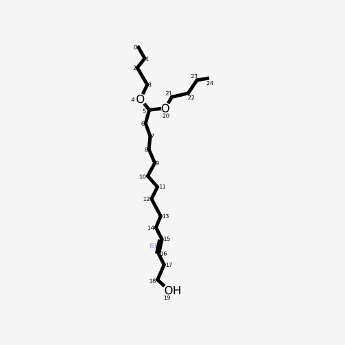 CCCCOC(CCCCCCCCC/C=C/CCO)OCCCC